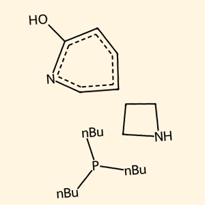 C1CNC1.CCCCP(CCCC)CCCC.Oc1ccccn1